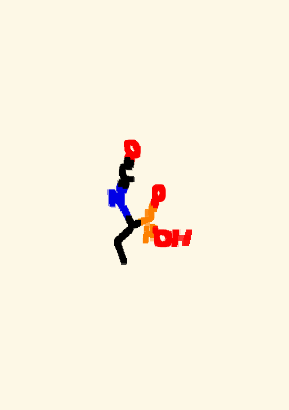 CCC(N=C=O)[PH](=O)O